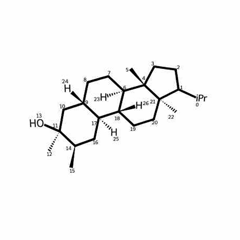 CC(C)C1CC[C@@]2(C)[C@@H]3CC[C@H]4C[C@](C)(O)[C@H](C)C[C@@H]4[C@H]3CC[C@]12C